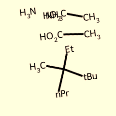 CC(=O)O.CC(=O)O.CCCC(C)(CC)C(C)(C)C.N.N